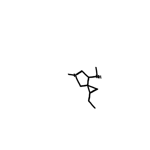 CCC1CC12CN(C)CC2NC